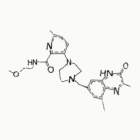 COCCNC(=O)c1nc(C)ccc1N1CCN(Cc2cc(C)c3nc(C)c(=O)[nH]c3c2)CC1